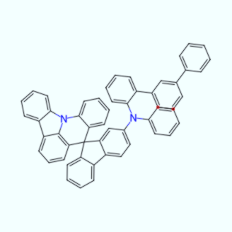 c1ccc(-c2cccc(-c3ccccc3N(c3ccccc3)c3ccc4c(c3)C3(c5ccccc5-4)c4ccccc4-n4c5ccccc5c5cccc3c54)c2)cc1